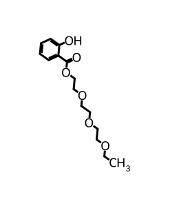 CCOCCOCCOCCOC(=O)c1ccccc1O